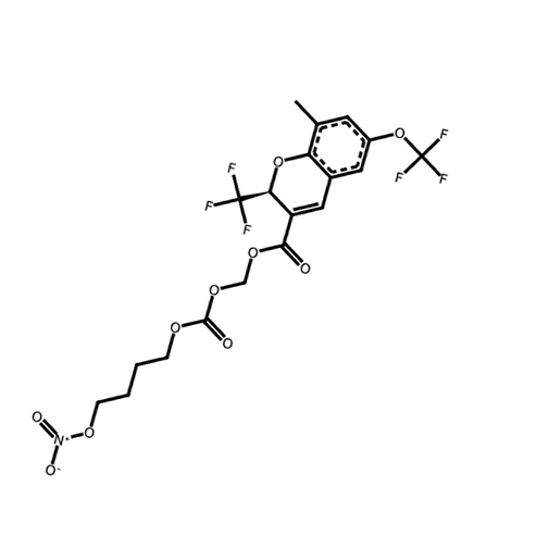 Cc1cc(OC(F)(F)F)cc2c1O[C@H](C(F)(F)F)C(C(=O)OCOC(=O)OCCCCO[N+](=O)[O-])=C2